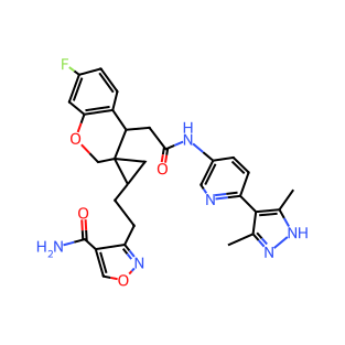 Cc1n[nH]c(C)c1-c1ccc(NC(=O)CC2c3ccc(F)cc3OCC23CC3CCc2nocc2C(N)=O)cn1